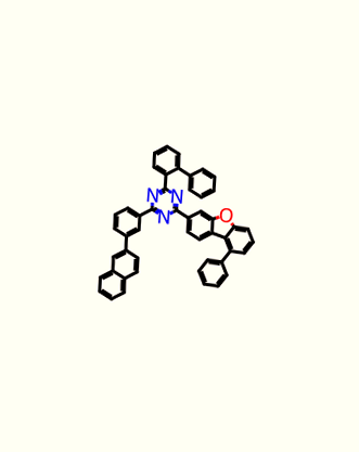 c1ccc(-c2ccccc2-c2nc(-c3cccc(-c4ccc5ccccc5c4)c3)nc(-c3ccc4c(c3)oc3cccc(-c5ccccc5)c34)n2)cc1